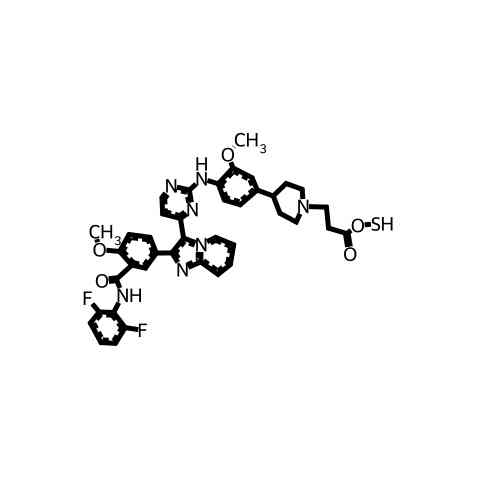 COc1cc(C2CCN(CCC(=O)OS)CC2)ccc1Nc1nccc(-c2c(-c3ccc(OC)c(C(=O)Nc4c(F)cccc4F)c3)nc3ccccn23)n1